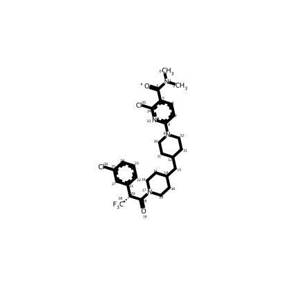 CN(C)C(=O)c1ccc(N2CCC(CC3CCN(C(=O)[C@@H](c4cccc(Cl)c4)C(F)(F)F)CC3)CC2)nc1Cl